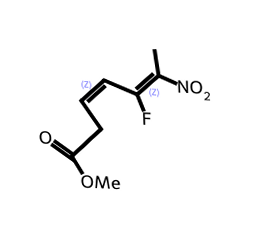 COC(=O)C/C=C\C(F)=C(/C)[N+](=O)[O-]